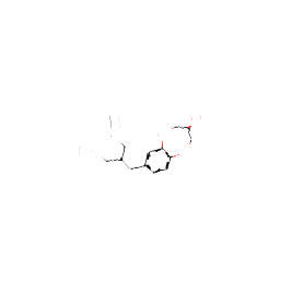 CCC(CC)Cc1ccc2c(c1)OCC(=O)CO2